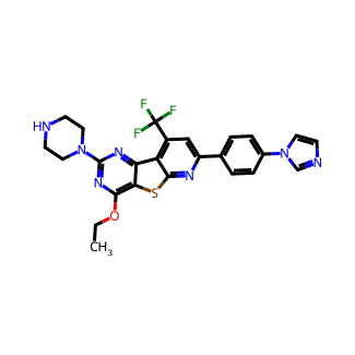 CCOc1nc(N2CCNCC2)nc2c1sc1nc(-c3ccc(-n4ccnc4)cc3)cc(C(F)(F)F)c12